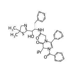 CC(C)C1C(=O)N(CC(=O)N[C@@H](Cc2ccccc2)C(O)C2=NCC(C)(C)S2)C(c2ccccc2)=CN1C(=O)c1ccccc1